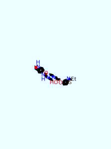 CCc1nc2cc(OCC(O)CN3CCN(CC(=O)Nc4ccc5[nH]ncc5c4)CC3)ccc2s1